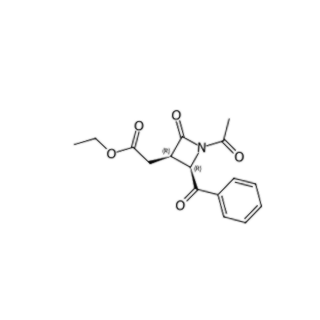 CCOC(=O)C[C@H]1C(=O)N(C(C)=O)[C@H]1C(=O)c1ccccc1